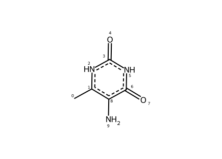 Cc1[nH]c(=O)[nH]c(=O)c1N